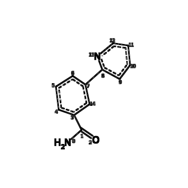 NC(=O)c1cccc(-c2ccccn2)c1